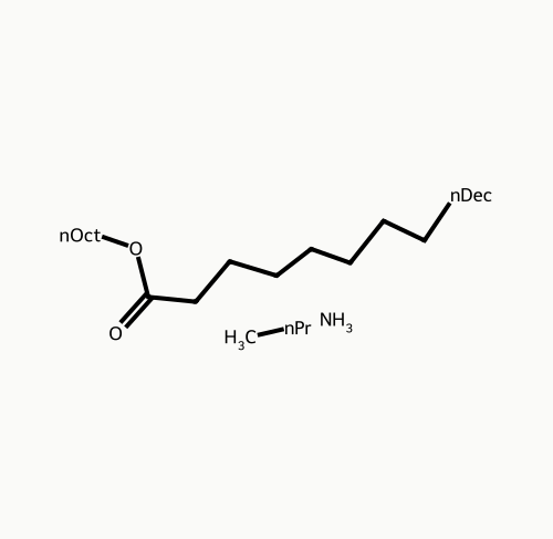 CCCC.CCCCCCCCCCCCCCCCCC(=O)OCCCCCCCC.N